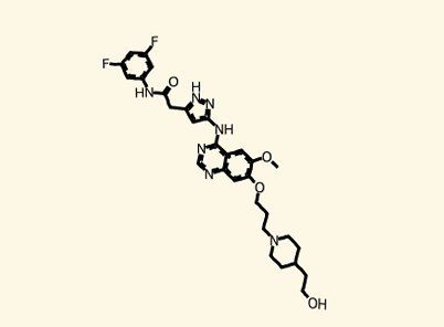 COc1cc2c(Nc3cc(CC(=O)Nc4cc(F)cc(F)c4)[nH]n3)ncnc2cc1OCCCN1CCC(CCO)CC1